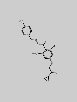 CCc1cc(OCC(=O)C2CC2)cc(C(=O)O)c1C(C)=NOCc1ccc(C(F)(F)F)cc1